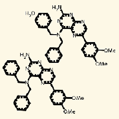 COc1ccc(-c2cnc3nc(N)nc(N(Cc4ccccc4)Cc4ccccc4)c3n2)cc1OC.COc1ccc(-c2cnc3nc(N)nc(N(Cc4ccccc4)Cc4ccccc4)c3n2)cc1OC.O